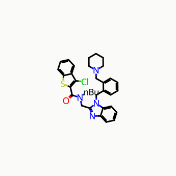 CCCCN(Cc1nc2ccccc2n1Cc1ccccc1CN1CCCCC1)C(=O)c1sc2ccccc2c1Cl